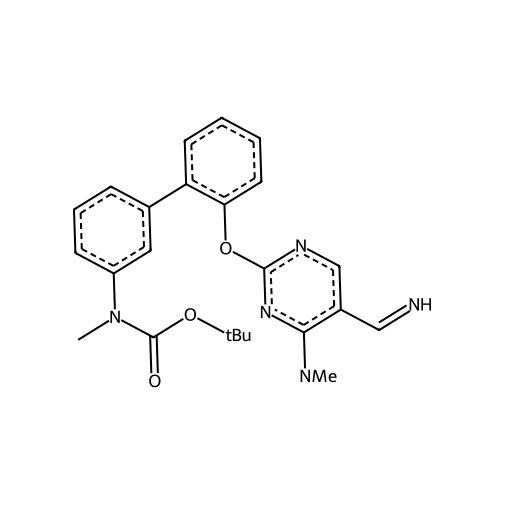 CNc1nc(Oc2ccccc2-c2cccc(N(C)C(=O)OC(C)(C)C)c2)ncc1C=N